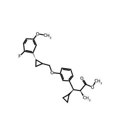 COC(=O)[C@@H](C)[C@H](c1cccc(OCC2C[C@@H]2c2cc(OC)ccc2F)c1)C1CC1